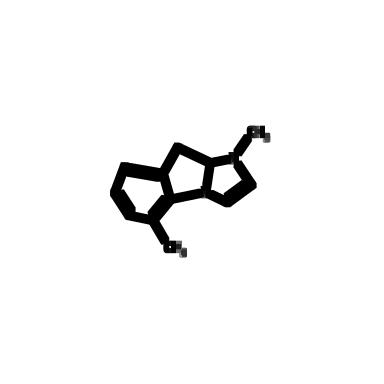 Cc1cccc2c1N1C=CN(C)C1C2